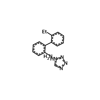 CCc1ccccc1-c1ccccc1N.c1nnn[nH]1